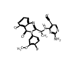 COc1cc(-n2c([C@H](C)Nc3nc(N)ncc3C#N)nc3cccc(Cl)c3c2=O)ccc1F